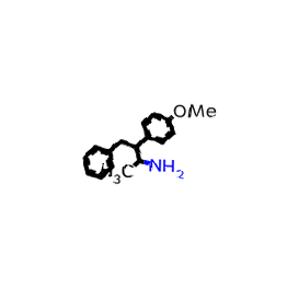 COc1ccc(C(Cc2ccccc2)C(C)N)cc1